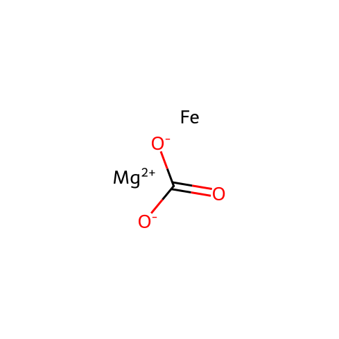 O=C([O-])[O-].[Fe].[Mg+2]